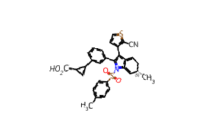 Cc1ccc(S(=O)(=O)n2c(-c3cccc(C4CC4C(=O)O)c3)c(-c3ccsc3C#N)c3c2=C[C@@H](C)CC=3)cc1